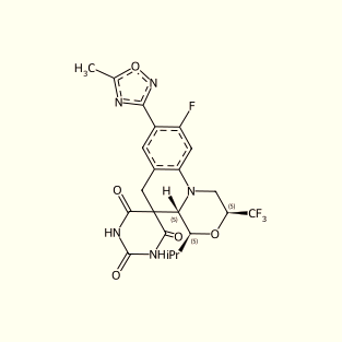 Cc1nc(-c2cc3c(cc2F)N2C[C@@H](C(F)(F)F)O[C@@H](C(C)C)[C@@H]2C2(C3)C(=O)NC(=O)NC2=O)no1